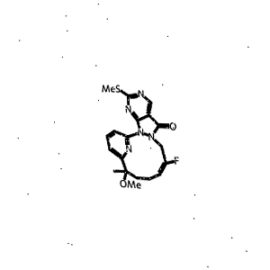 COC1(C)CC/C=C(/F)Cn2c(=O)c3cnc(SC)nc3n2-c2cccc1n2